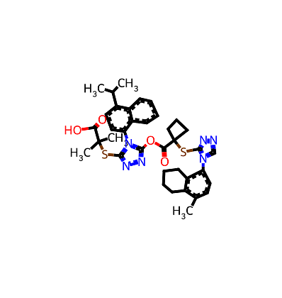 Cc1ccc(-n2cnnc2SC2(C(=O)Oc3nnc(SC(C)(C)C(=O)O)n3-c3ccc(C(C)C)c4ccccc34)CCC2)c2c1CCCC2